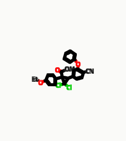 CCOc1ccc(C2(C(=O)OC)C(c3ccc(C#N)c(Oc4ccccc4)c3)C2(Cl)Cl)cc1